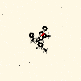 COc1cc2c(C(=O)N[C@H](c3ccccc3)C(F)(F)F)c(CN3CCC(N4CCCCC4)CC3)c(-c3cccc(C(F)(F)F)c3)nc2cc1OCC(F)(F)F